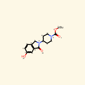 CC(C)(C)OC(=O)N1CCC(N2Cc3ccc(O)cc3C2=O)CC1